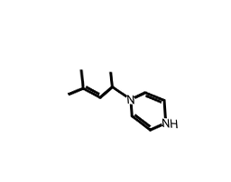 CC(C)=CC(C)N1C=CNC=C1